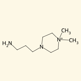 C[N+]1(C)CCN(CCCN)CC1